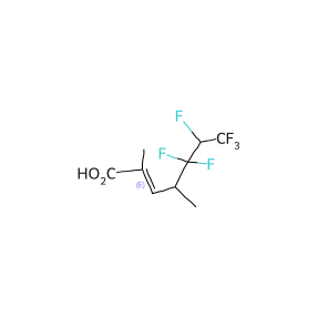 C/C(=C\C(C)C(F)(F)C(F)C(F)(F)F)C(=O)O